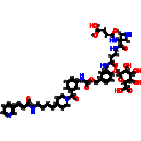 O=C(O)CCC(=O)NC1(C(=O)NCCC(=O)Nc2cc(COC(=O)Nc3cccc(C(=O)N4CCC(CCCCNC(=O)/C=C/c5cccnc5)CC4)c3)ccc2OC2OC(C(=O)O)C(O)[C@H](O)[C@@H]2O)CNC1